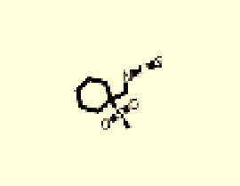 CS(=O)(=O)C1(CN=C=S)CCCCC1